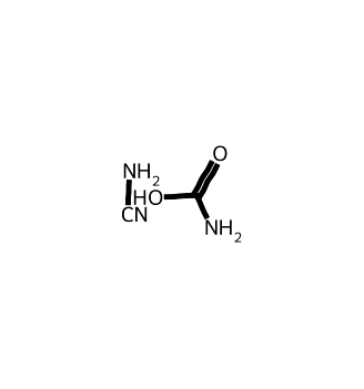 N#CN.NC(=O)O